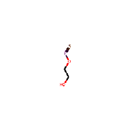 OCCOP=S